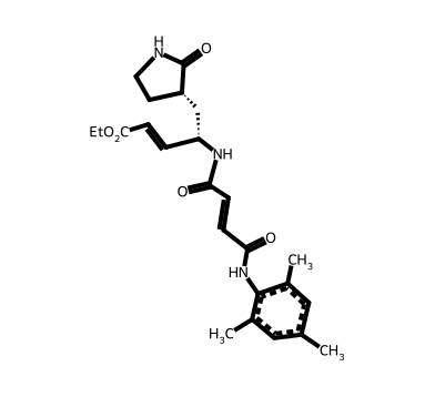 CCOC(=O)C=C[C@H](C[C@@H]1CCNC1=O)NC(=O)C=CC(=O)Nc1c(C)cc(C)cc1C